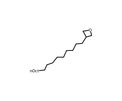 CCCCCCCCCCCCCCCCCC1COC1